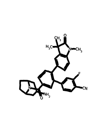 CN1C(=O)C(C)(C)c2cc(-c3ccc(C(=O)N4C5CCC4CC(N)C5)cc3-c3ccc(C#N)c(F)c3)ccc21